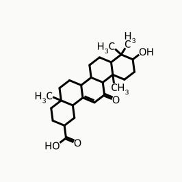 CC12CCC(C(=O)O)CC1C1=CC(=O)C3C(CCC4C(C)(C)C(O)CCC34C)C1CC2